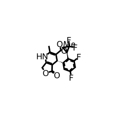 COC(=O)C1=C(C)NC2=C(C(=O)OC2)[C@H]1c1cc(F)cc(F)c1[C@H]1CC1(F)F